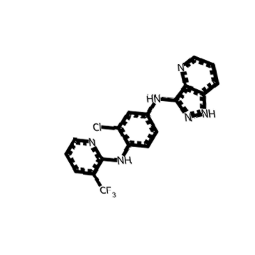 FC(F)(F)c1cccnc1Nc1ccc(Nc2n[nH]c3cccnc23)cc1Cl